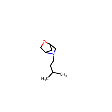 CC(C)CCN1CC2CC1CO2